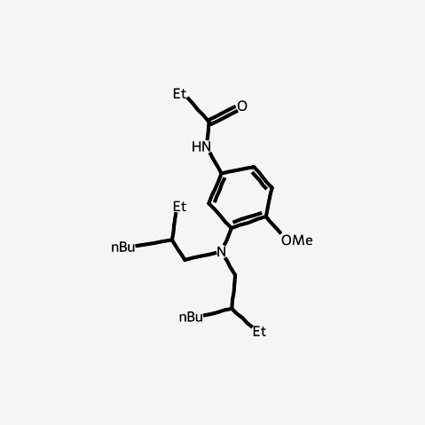 CCCCC(CC)CN(CC(CC)CCCC)c1cc(NC(=O)CC)ccc1OC